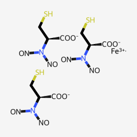 O=NN(N=O)[C@@H](CS)C(=O)[O-].O=NN(N=O)[C@@H](CS)C(=O)[O-].O=NN(N=O)[C@@H](CS)C(=O)[O-].[Fe+3]